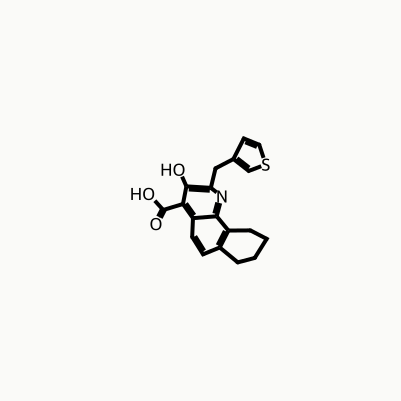 O=C(O)c1c(O)c(Cc2ccsc2)nc2c3c(ccc12)CCCC3